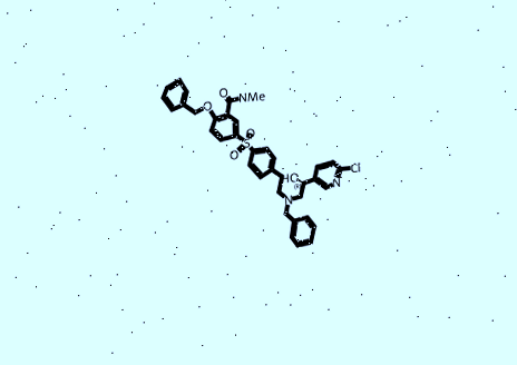 CNC(=O)c1cc(S(=O)(=O)c2ccc(CCN(Cc3ccccc3)C[C@H](O)c3ccc(Cl)nc3)cc2)ccc1OCc1ccccc1